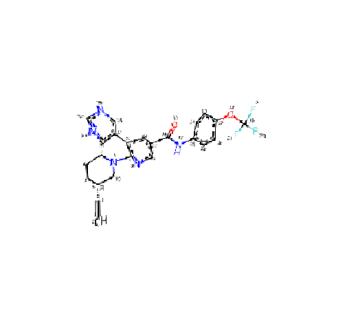 C#C[C@@H]1CCCN(c2ncc(C(=O)Nc3ccc(OC(F)(F)F)cc3)cc2-c2cncnc2)C1